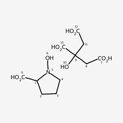 O=C(O)C1CCCN1O.O=C(O)CC(O)(CC(=O)O)C(=O)O